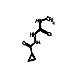 CNC(=O)NNC(=O)C1CC1